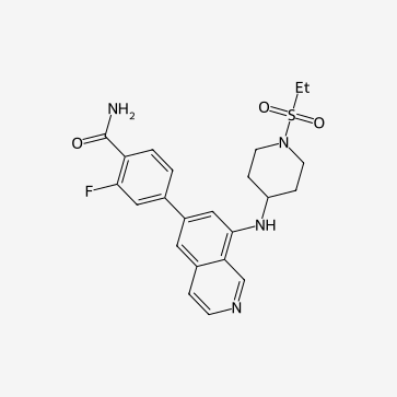 CCS(=O)(=O)N1CCC(Nc2cc(-c3ccc(C(N)=O)c(F)c3)cc3ccncc23)CC1